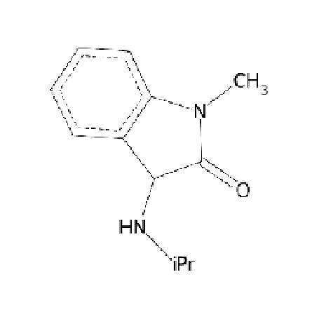 CC(C)NC1C(=O)N(C)c2ccccc21